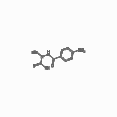 CCCCN(NC(=O)c1ccc([N+](=O)[O-])cc1)C(=S)S